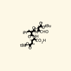 CC(C)CC(C(=O)NC(C=O)CC(=O)OC(C)(C)C)C(=O)NC(CCC(=O)OC(C)(C)C)C(=O)O